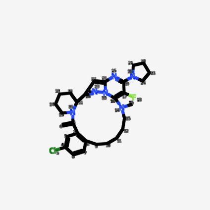 C=C1c2cc(Cl)ccc2CCCCCN(C)c2c(F)c(N3CCCC3)nc3cc(nn23)C2CCCCN12